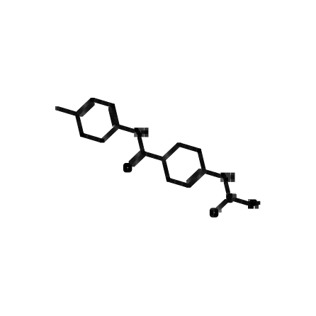 CC1=CC=C(NC(=O)C2CC=C(N[S+]([O-])C(C)C)CC2)CC1